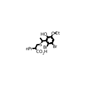 CCCC(CSC(C)c1c(O)c(OCC)cc(Br)c1Br)C(=O)O